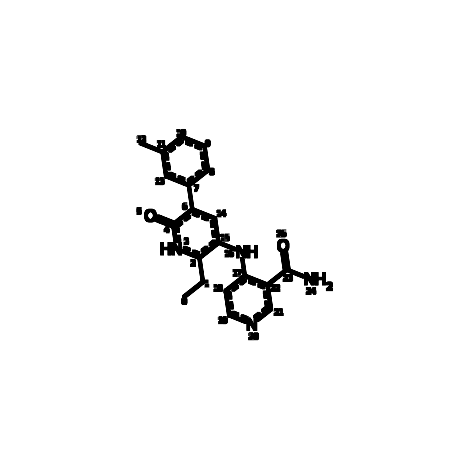 CCc1[nH]c(=O)c(-c2cccc(C)c2)cc1Nc1ccncc1C(N)=O